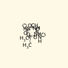 CCCC[C@H](C)[C@@H]1CC(=O)N[C@H](Cc2c[nH]c3ccccc23)C(=O)N[C@@H](C)C(=O)N[C@H](Cc2ccccc2)C(=O)O1